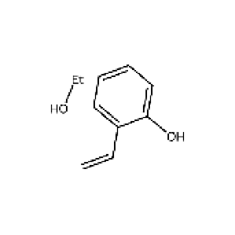 C=Cc1ccccc1O.CCO